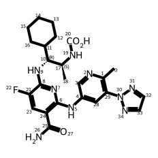 Cc1ncc(Nc2nc(N[C@H](C3CCCCC3)[C@H](C)NC(=O)O)c(F)cc2C(N)=O)cc1-n1nccn1